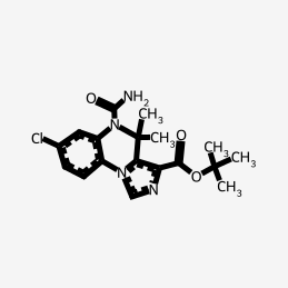 CC(C)(C)OC(=O)c1ncn2c1C(C)(C)N(C(N)=O)c1cc(Cl)ccc1-2